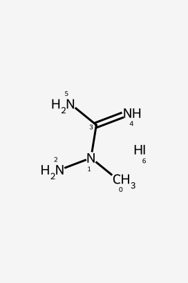 CN(N)C(=N)N.I